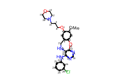 COc1cc2c(cc1OCCCN1CCOCC1)CNc1c(Nc3cccc(Cl)c3)ncnc1O2